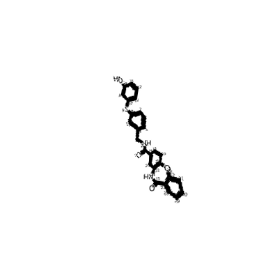 O=C(NCc1cccc(Sc2cccc(O)c2)c1)c1ccc2c(c1)NC(=O)c1ccccc1O2